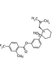 CC(=O)Oc1cc(C(F)(F)F)ccc1C(=O)Oc1cccc([C@@]2(O)CCCC[C@@H]2CN(C)C)c1